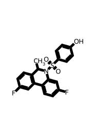 CC1c2ccc(F)cc2-c2ccc(F)cc2N1S(=O)(=O)c1ccc(O)cc1